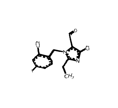 CCc1nc(Cl)c(C=O)n1Cc1ccc(I)cc1Cl